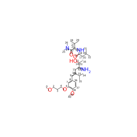 COCCCOc1cc(C[C@@H](C[C@H](N)[C@@H](O)C[C@H](C(=O)N[C@H](C(=O)N(C)C)C(C)C)C(C)C)C(C)C)ccc1OC